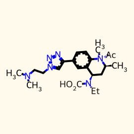 CCN(C(=O)O)[C@@H]1C[C@H](C)[N+](C)(C(C)=O)c2ccc(-c3cn(CCN(C)C)nn3)cc21